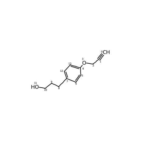 C#CCOc1ccc(CCCO)cc1